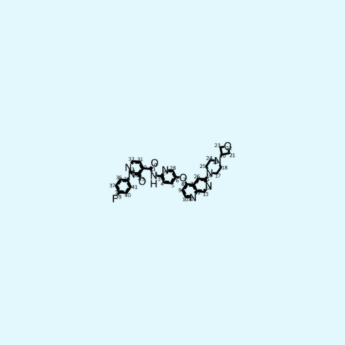 O=C(Nc1ccc(Oc2ccnc3cnc(N4CCN(C5COC5)CC4)cc23)cn1)c1ccnn(-c2ccc(F)cc2)c1=O